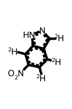 [2H]c1c([N+](=O)[O-])c([2H])c2[nH]nc([2H])c2c1[2H]